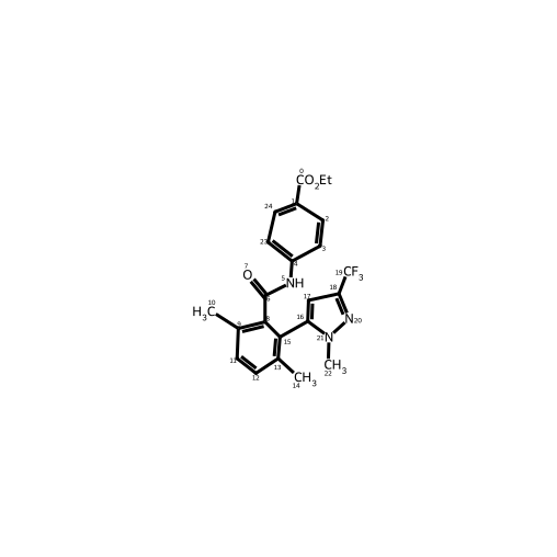 CCOC(=O)c1ccc(NC(=O)c2c(C)ccc(C)c2-c2cc(C(F)(F)F)nn2C)cc1